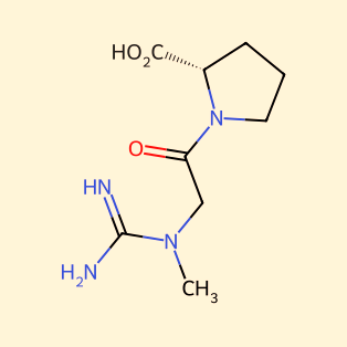 CN(CC(=O)N1CCC[C@H]1C(=O)O)C(=N)N